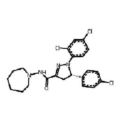 O=C(NN1CCCCCC1)C1=NN(c2ccc(Cl)cc2Cl)[C@H](c2ccc(Cl)cc2)C1